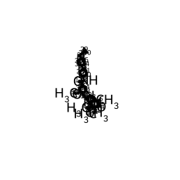 CC[C@@H]1C(=O)N(C)c2cnc(Cc3ccc(C(=O)N[C@H]4CC[C@H](N5CCN(CC6CC6)CC5)CC4)cc3OC)nc2N1C(C)C